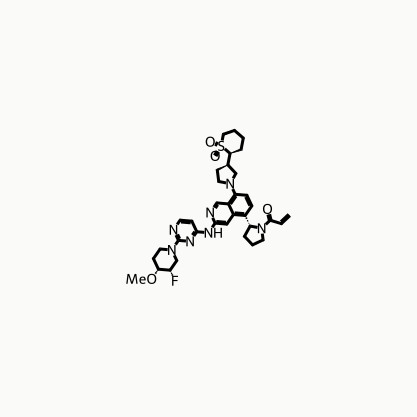 C=CC(=O)N1CCC[C@@H]1c1ccc(N2CC[C@@H]([C@@H]3CCCCS3(=O)=O)C2)c2cnc(Nc3ccnc(N4CC[C@@H](OC)[C@@H](F)C4)n3)cc12